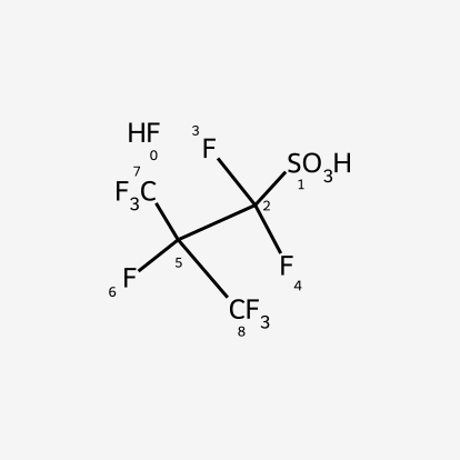 F.O=S(=O)(O)C(F)(F)C(F)(C(F)(F)F)C(F)(F)F